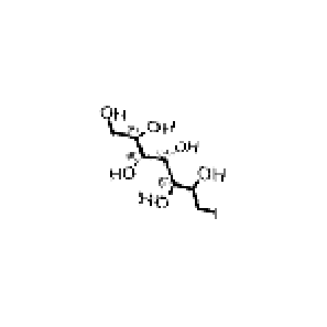 OC[C@@H](O)[C@@H](O)[C@H](O)[C@H](O)C(O)CI